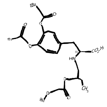 CCC(C)OC(=O)OC(C)CN[C@@H](Cc1ccc(OC(=O)C(C)(C)C)c(OC(=O)C(C)(C)C)c1)C(=O)O